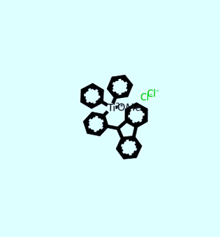 C[O][Ti+2]([c]1ccccc1)([c]1ccccc1)[c]1ccccc1C1c2ccccc2-c2ccccc21.[Cl-].[Cl-]